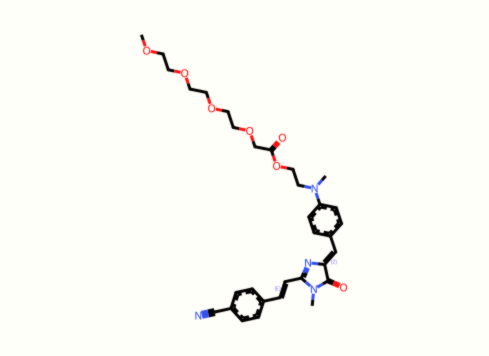 COCCOCCOCCOCC(=O)OCCN(C)c1ccc(/C=C2N=C(/C=C/c3ccc(C#N)cc3)N(C)C\2=O)cc1